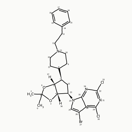 CC1(C)O[C@@H]2[C@H](O1)[C@@H](C1CCN(CCc3ccccc3)CC1)C[C@H]2n1cc(Br)c2c(Cl)nc(Cl)nc21